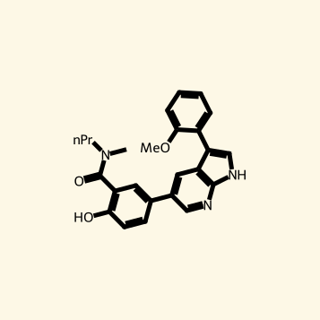 CCCN(C)C(=O)c1cc(-c2cnc3[nH]cc(-c4ccccc4OC)c3c2)ccc1O